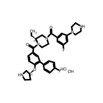 CC[C@H]1CN(C(=O)c2cc(F)cc(N3CCNCC3)c2)CCN1C(=O)c1ccc(O[C@H]2CCNC2)c(-c2ccc(F)cc2)c1.Cl.Cl